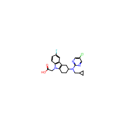 O=C(O)Cn1c2c(c3cc(F)ccc31)CC(N(CC1CC1)c1ncc(Cl)cn1)CC2